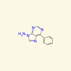 Nn1cnc2c(-c3ccccc3)ncnc21